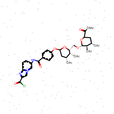 COC(=O)C1C[C@H](OC(C)=O)[C@@H](OC(C)=O)[C@H](OC[C@H]2OC(Oc3ccc(C(=O)Nc4ccc5nc(C(=O)Cl)cn5c4)cc3)C[C@@H](OC(C)=O)[C@H]2OC(C)=O)O1